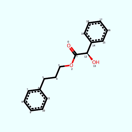 O=C(OCCCc1ccccc1)[C@H](O)c1ccccc1